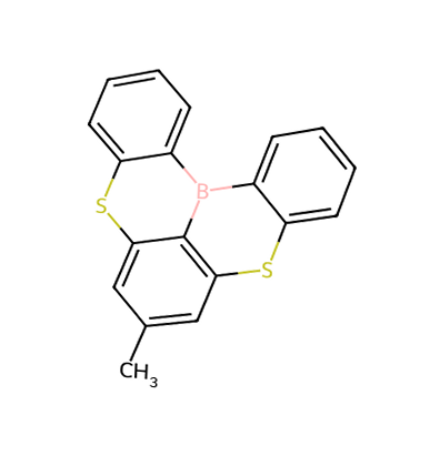 Cc1cc2c3c(c1)Sc1ccccc1B3c1ccccc1S2